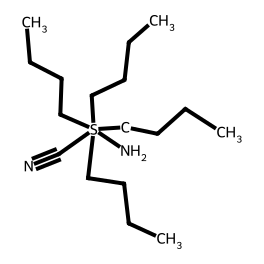 CCCCS(N)(C#N)(CCCC)(CCCC)CCCC